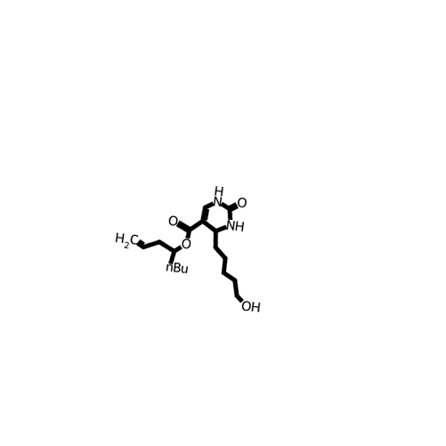 C=CCC(CCCC)OC(=O)C1=CNC(=O)NC1CCCCCO